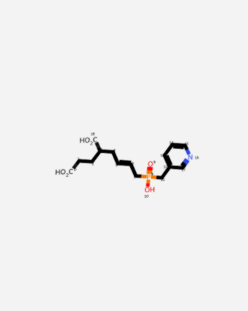 O=C(O)CCC(CC=CCP(=O)(O)Cc1cccnc1)C(=O)O